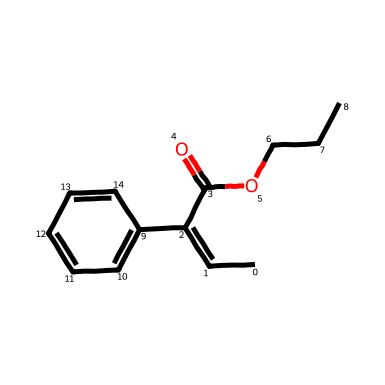 CC=C(C(=O)OCCC)c1ccccc1